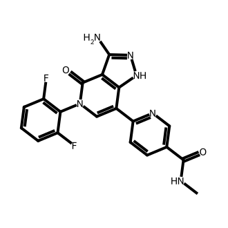 CNC(=O)c1ccc(-c2cn(-c3c(F)cccc3F)c(=O)c3c(N)n[nH]c23)nc1